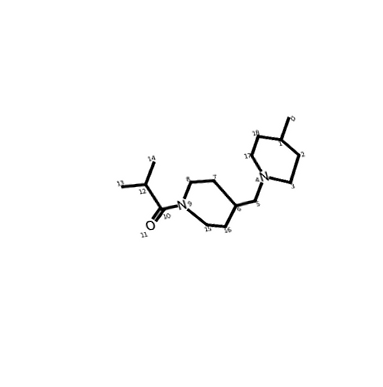 CC1CCN(CC2CCN(C(=O)C(C)C)CC2)CC1